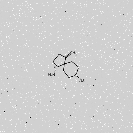 C=C1CC[C@@H](N)C12CCN(CC)CC2